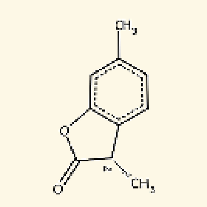 Cc1ccc2c(c1)OC(=O)[C@H]2C